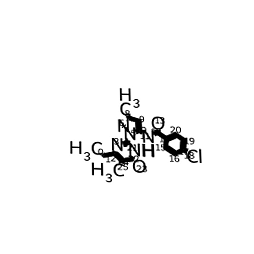 CCc1nc(-n2nc(C)cc2NC(=O)c2ccc(Cl)cc2)[nH]c(=O)c1C